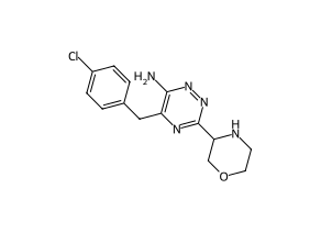 Nc1nnc(C2COCCN2)nc1Cc1ccc(Cl)cc1